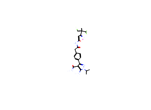 CC(C)n1nc(-c2ccc(CC(=O)Nc3cc(C(C)(CF)C(F)F)no3)cc2)c(C(N)=O)c1N